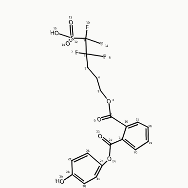 O=C(OCCCC(F)(F)C(F)(F)S(=O)(=O)O)c1ccccc1C(=O)Oc1ccc(O)cc1